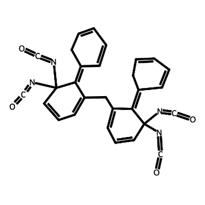 O=C=NC1(N=C=O)C=CC=C(CC2=CC=CC(N=C=O)(N=C=O)C2=C2C=CC=CC2)C1=C1C=CC=CC1